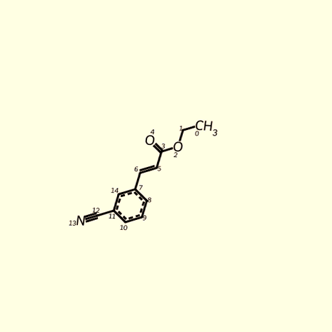 CCOC(=O)/C=C/c1cccc(C#N)c1